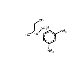 Nc1cccc(N)c1.O=S(=O)(O)O.OCCO